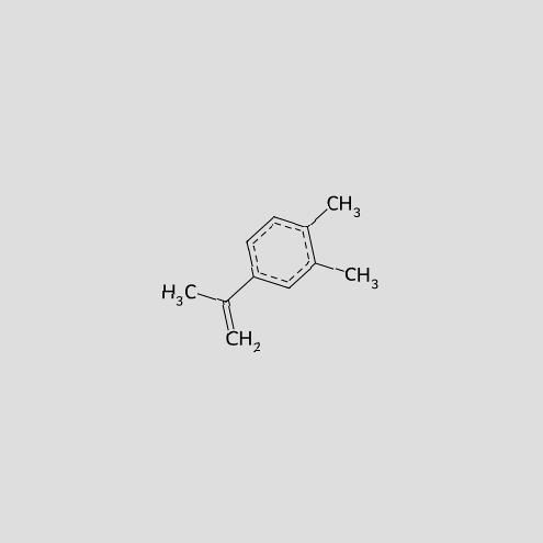 C=C(C)c1ccc(C)c(C)c1